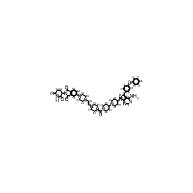 Nc1ncnc2c1c(-c1ccc(Oc3ccccc3)cc1)nn2C1CCN(C2CCN(C(=O)N3CCN(CCN4CCN(c5ccc6c(c5)C(=O)N(C5CCC(=O)NC5=O)C6=O)CC4)CC3)CC2)CC1